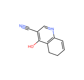 N#Cc1cnc2c(c1O)CCC=C2